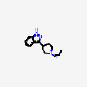 C/C=C\N1CCC(c2n[nH]c3ccccc23)CC1